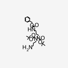 CC(C)(C)OC(=O)N(CCCN)N(CCCNC(=O)OCc1ccccc1)C(=O)OC(C)(C)C